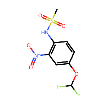 CS(=O)(=O)Nc1ccc(OC(F)F)cc1[N+](=O)[O-]